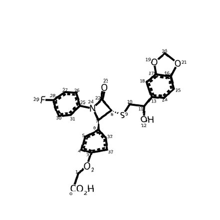 O=C(O)COc1ccc([C@@H]2[C@@H](SCC(O)c3ccc4c(c3)OCO4)C(=O)N2c2ccc(F)cc2)cc1